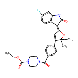 CCOC(=O)N1CCN(C(=O)c2ccc(C3=CC(=C4C(=O)Nc5cc(F)ccc54)OC3(C)C)cc2)CC1